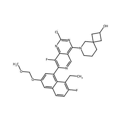 CCc1c(F)ccc2cc(OCOC)cc(-c3ncc4c(N5CCCC6(CC(O)C6)C5)nc(Cl)nc4c3F)c12